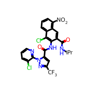 CC(C)NC(=O)c1cc2c([N+](=O)[O-])cccc2c(Cl)c1NC(=O)c1cc(C(F)(F)F)nn1-c1ncccc1Cl